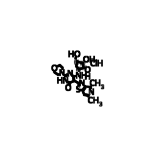 Cc1cc2sc(-c3c(N[C@@H]4C[C@H](CO)[C@@H](O)[C@H]4O)nc(N4CCOCC4)[nH]c3=O)nc2c(C)n1.Cl